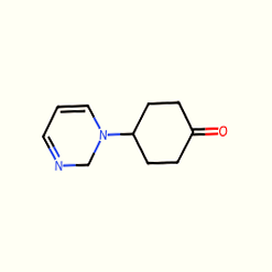 O=C1CCC(N2C=CC=NC2)CC1